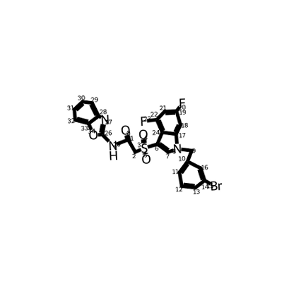 O=C(CS(=O)(=O)c1cn(Cc2cccc(Br)c2)c2cc(F)cc(F)c12)Nc1nc2ccccc2o1